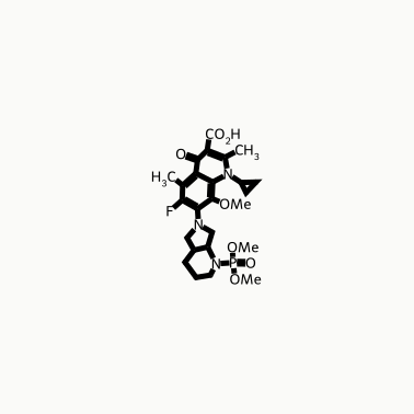 COc1c(N2CC3CCCN(P(=O)(OC)OC)C3C2)c(F)c(C)c2c(=O)c(C(=O)O)c(C)n(C3CC3)c12